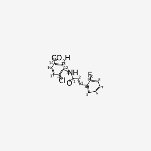 O=C(/C=C/c1ccccc1F)Nc1cc(C(=O)O)ccc1Cl